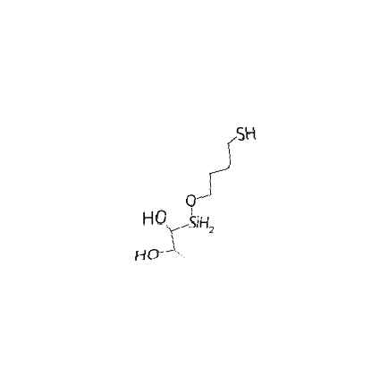 CC(O)C(O)[SiH2]OCCCCS